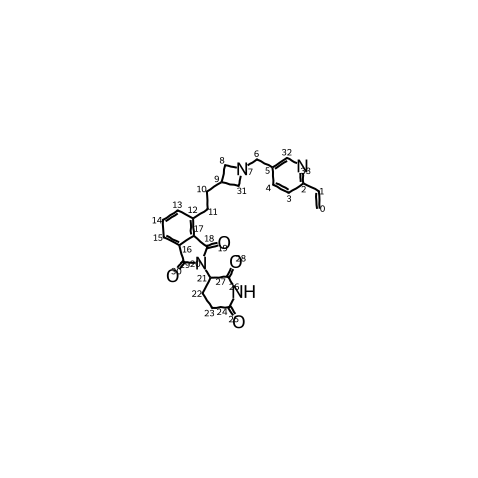 C=Cc1ccc(CN2CC(CCc3cccc4c3C(=O)N(C3CCC(=O)NC3=O)C4=O)C2)cn1